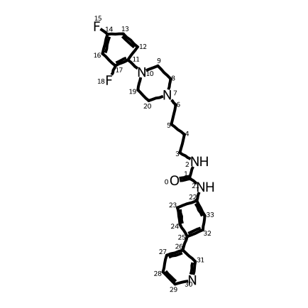 O=C(NCCCCN1CCN(c2ccc(F)cc2F)CC1)Nc1ccc(-c2cccnc2)cc1